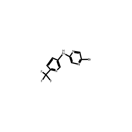 FC(F)(F)c1ccc([AsH]c2cnc(Br)cn2)cn1